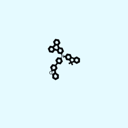 CC1(C)c2ccccc2-c2ccc(N(c3ccc(-c4ccc5oc6ccccc6c5c4)cc3)c3ccc4c5ccccc5c5ccccc5c4c3)cc21